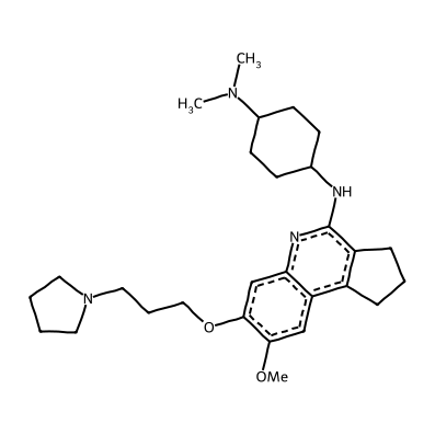 COc1cc2c3c(c(NC4CCC(N(C)C)CC4)nc2cc1OCCCN1CCCC1)CCC3